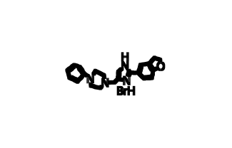 Br.c1ccc(N2CCN(Cc3c[nH]c(-c4ccc5c(c4)CCO5)n3)CC2)cc1